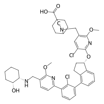 COc1nc(-c2cccc(-c3cccc4c3CC[C@@H]4Oc3nc(OC)c(CN4CC5(C(=O)O)CCC4CC5)cc3Cl)c2Cl)ccc1CN[C@H]1CCCC[C@H]1O